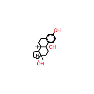 C[C@]12CC[C@]3(O)c4ccc(O)cc4CC[C@H]3[C@@H]1CC[C@@H]2O